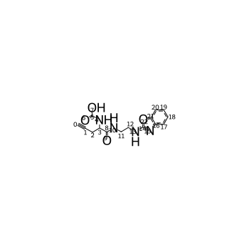 C#CCC(NC(=O)O)C(=O)NCCNc1nc2ccccc2o1